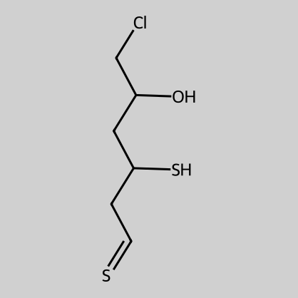 OC(CCl)CC(S)CC=S